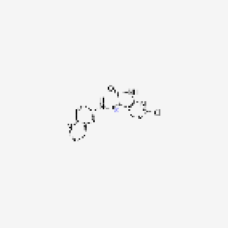 O=C1Nc2nc(Cl)ccc2/C1=C/Nc1ccc2ncccc2c1